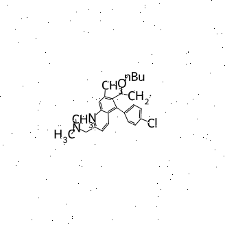 [CH2]C(OCCCC)c1c(C)cc2nc(CN(C)C)ccc2c1-c1ccc(Cl)cc1